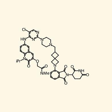 CNC(=O)COc1cc2cc(Nc3nc(N4CCN(CC5CC6(C5)CN(c5cccc7c5C(=O)N(C5CCC(=O)NC5=O)C7=O)C6)CC4)ncc3Cl)ccc2n(C(C)C)c1=O